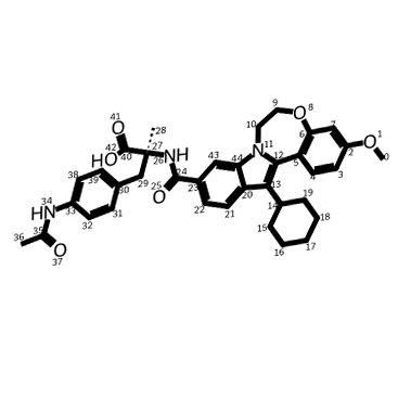 COc1ccc2c(c1)OCCn1c-2c(C2CCCCC2)c2ccc(C(=O)N[C@@](C)(Cc3ccc(NC(C)=O)cc3)C(=O)O)cc21